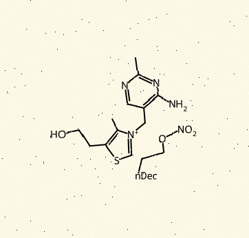 CCCCCCCCCCCCO[N+](=O)[O-].Cc1ncc(C[n+]2csc(CCO)c2C)c(N)n1